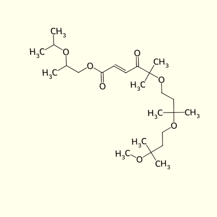 COC(C)(C)CCOC(C)(C)CCOC(C)(C)C(=O)/C=C/C(=O)OCC(C)OC(C)C